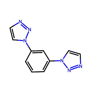 c1cc(-n2ccnn2)cc(-n2ccnn2)c1